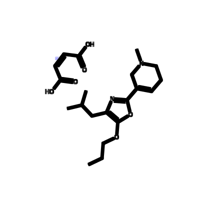 CCCOc1oc(C2=CCCN(C)C2)nc1CC(C)C.O=C(O)/C=C\C(=O)O